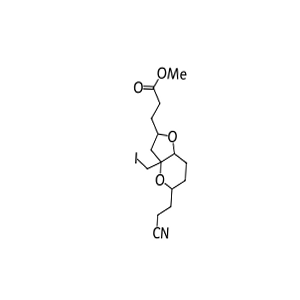 COC(=O)CCC1CC2(CI)OC(CCC#N)CCC2O1